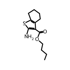 CCCCOC(=O)c1c(N)sc2c1CCCC2